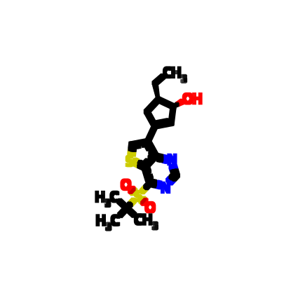 CC[C@@H]1CC(c2csc3c(S(=O)(=O)C(C)(C)C)ncnc23)=C[C@@H]1O